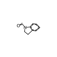 O=[C]N1CCc2ccccc21